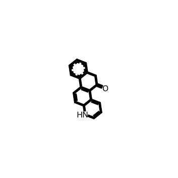 O=C1Cc2ccccc2C2=C1C1=CC=CNC1C=C2